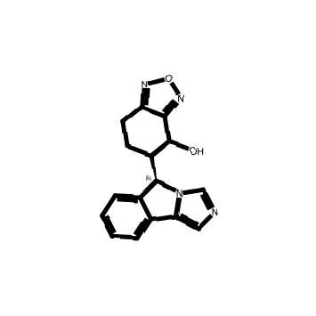 OC1c2nonc2CCC1[C@@H]1c2ccccc2-c2cncn21